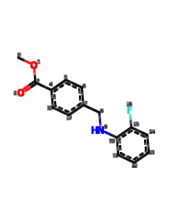 COC(=O)c1ccc(CNc2ccccc2F)cc1